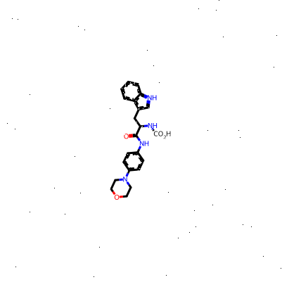 O=C(O)NC(Cc1c[nH]c2ccccc12)C(=O)Nc1ccc(N2CCOCC2)cc1